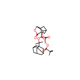 C=C(C)C(=O)OCC(=O)OC1C2CC3C1OC(=O)C3(C(=O)OC(C)(C)C13CC4CC(CC(C4)C1)C3)C2